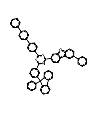 c1ccc(-c2ccc(-c3ccc(-c4nc(-c5cccc(C6(c7ccccc7)c7ccccc7-c7ccccc76)c5)nc(-c5ccc6c(c5)oc5ccc(-c7ccccc7)cc56)n4)cc3)cc2)cc1